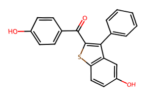 O=C(c1ccc(O)cc1)c1sc2ccc(O)cc2c1-c1ccccc1